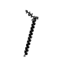 C=CCOCCCC(C)(CC)ON=NN=NN=NN=NN=NN=NN=NN=NN=NN=NC